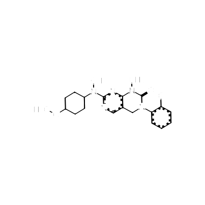 COC1CCC(N(C)c2ncc3c(n2)N(C)C(=O)N(c2ccccc2Cl)C3)CC1